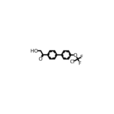 O=C(CO)c1ccc(-c2ccc(OC(F)(F)Cl)cc2)cc1